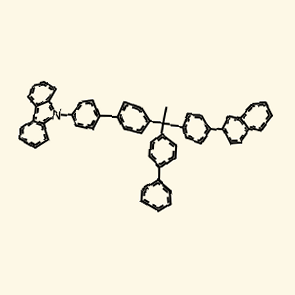 CC(c1ccc(-c2ccccc2)cc1)(c1ccc(-c2ccc(-n3c4ccccc4c4ccccc43)cc2)cc1)c1ccc(-c2ccc3ccccc3c2)cc1